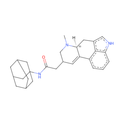 CN1CC(CC(=O)NC23CC4CC(CC(C4)C2)C3)C=C2c3cccc4[nH]cc(c34)C[C@@H]21